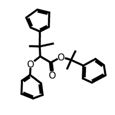 CC(C)(OC(=O)C(Oc1ccccc1)C(C)(C)c1ccccc1)c1ccccc1